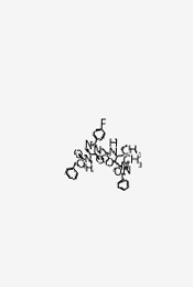 CC(C)[C@H](NC(=O)Cn1c(-c2ccc(F)cc2)ncc(NC(=O)OCc2ccccc2)c1=O)C(=O)c1nnc(-c2ccccc2)o1